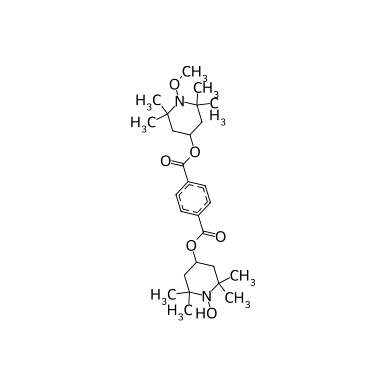 CON1C(C)(C)CC(OC(=O)c2ccc(C(=O)OC3CC(C)(C)N(O)C(C)(C)C3)cc2)CC1(C)C